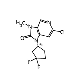 Cn1c(=O)n([C@@H]2CCC(F)(F)C2)c2cc(Cl)ncc21